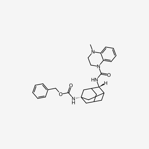 CN1CCN(C(=O)N[C@H]2C3CC4CC2C[C@@](NC(=O)OCc2ccccc2)(C4)C3)c2ccccc21